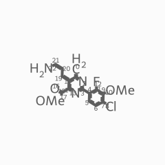 C=c1nc(-c2ccc(Cl)c(OC)c2F)nc(C(=O)OC)/c1=C/C=C\N